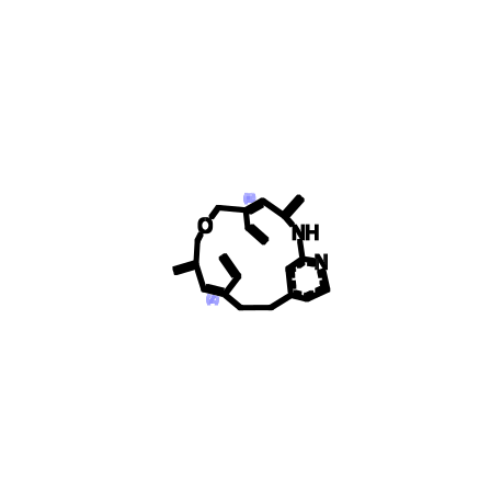 C=C/C1=C\C(=C)COC/C(C=C)=C/C(=C)Nc2cc(ccn2)CC1